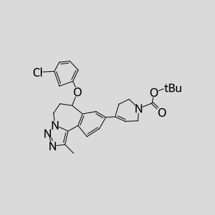 Cc1nnn2c1-c1ccc(C3=CCN(C(=O)OC(C)(C)C)CC3)cc1C(Oc1cccc(Cl)c1)CC2